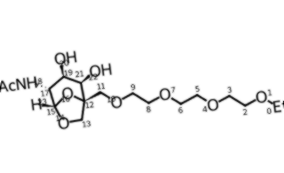 [CH2]COCCOCCOCCOC[C@@]12CO[C@@H](O1)[C@H](NC(C)=O)[C@@H](O)[C@H]2O